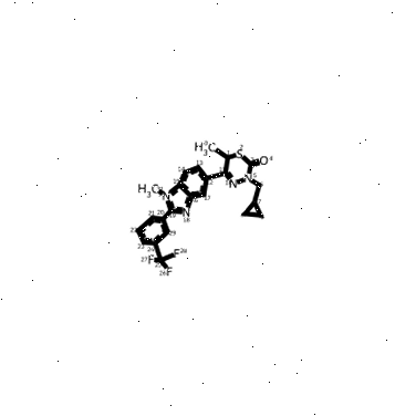 CC1SC(=O)N(CC2CC2)N=C1c1ccc2c(c1)nc(-c1cccc(C(F)(F)F)c1)n2C